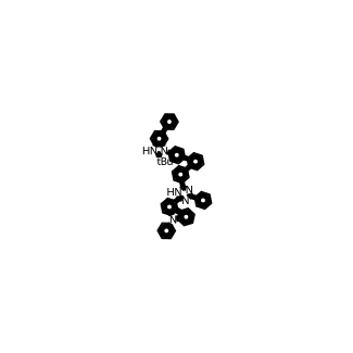 CC(C)(C)C1Nc2ccc(-c3ccccc3)cc2N1c1ccc(-c2ccccc2-c2cccc(C3N=C(c4ccccc4)N=C(c4cccc5c4c4ccccc4n5-c4ccccc4)N3)c2)cc1